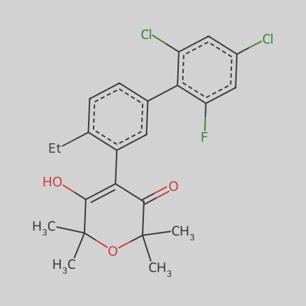 CCc1ccc(-c2c(F)cc(Cl)cc2Cl)cc1C1=C(O)C(C)(C)OC(C)(C)C1=O